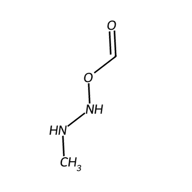 CNNOC=O